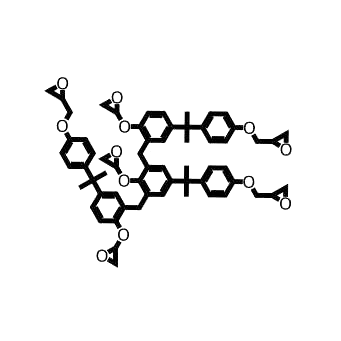 CC(C)(c1ccc(OCC2CO2)cc1)c1ccc(OC2CO2)c(Cc2cc(C(C)(C)c3ccc(OCC4CO4)cc3)cc(Cc3cc(C(C)(C)c4ccc(OCC5CO5)cc4)ccc3OC3CO3)c2OC2CO2)c1